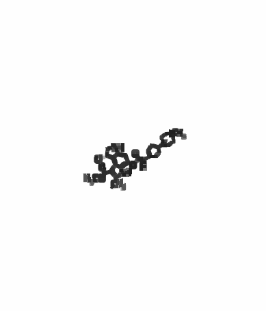 COC(=O)c1c(C)[nH]c2c(OC(=O)Nc3ccc(N4CCN(C)CC4)cc3)cc3c(c12)[C@H](Cl)CN3